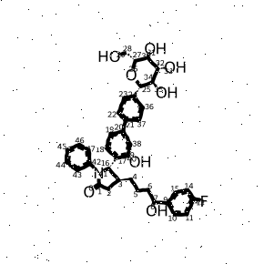 O=C1C[C@H](CCCC(O)c2ccc(F)cc2)[C@@H](c2ccc(-c3ccc([C@@H]4O[C@H](CO)[C@@H](O)[C@H](O)[C@H]4O)cc3)cc2O)N1c1ccccc1